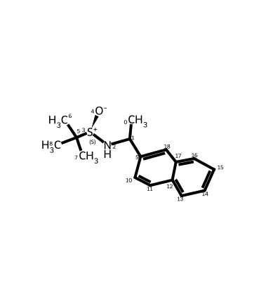 CC(N[S@+]([O-])C(C)(C)C)c1ccc2ccccc2c1